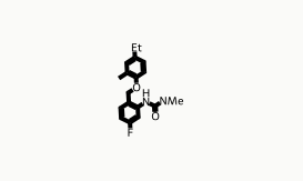 CCc1ccc(OCc2ccc(F)cc2NC(=O)NC)c(C)c1